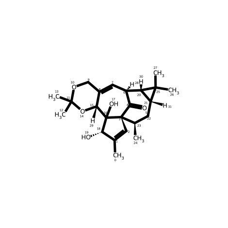 CC1=C[C@]23C(=O)[C@@H](C=C4COC(C)(C)O[C@H]4C2(O)[C@H]1O)[C@H]1[C@@H](C[C@H]3C)C1(C)C